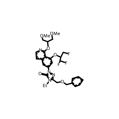 CCn1c(COCc2ccccc2)nn(-c2cc(OC(CF)C(F)F)c3c(OC(COC)COC)nccc3c2)c1=O